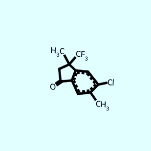 Cc1cc2c(cc1Cl)C(C)(C(F)(F)F)CC2=O